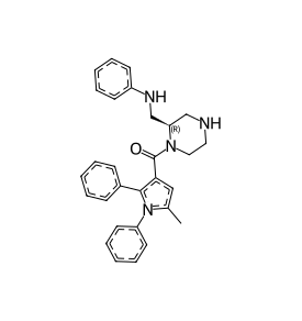 Cc1cc(C(=O)N2CCNC[C@@H]2CNc2ccccc2)c(-c2ccccc2)n1-c1ccccc1